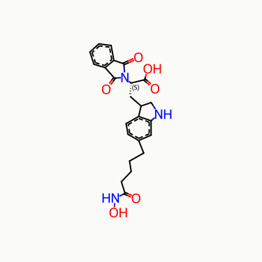 O=C(CCCCc1ccc2c(c1)NCC2C[C@@H](C(=O)O)N1C(=O)c2ccccc2C1=O)NO